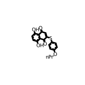 CCCOc1ccc(SC2=CC(=O)c3c(O)ccc(O)c3C2=O)cc1